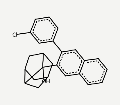 OC1(c2cc3ccccc3cc2-c2cccc(Cl)c2)C2CC3CC(C2)C1C3